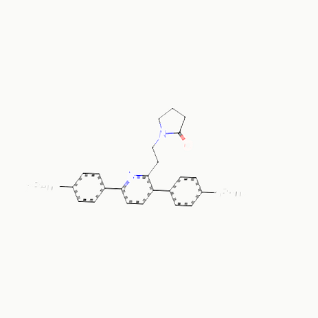 CCCCCc1ccc(-c2ccc(-c3ccc(CCCCC)cc3)c(CCN3CCCC3=O)n2)cc1